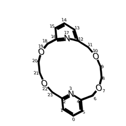 c1cc2nc(c1)COCCOCc1cccc(n1)COCCOC2